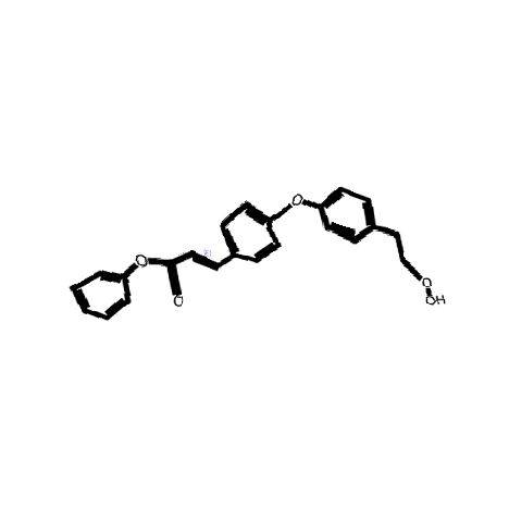 O=C(/C=C/c1ccc(Oc2ccc(CCOO)cc2)cc1)Oc1ccccc1